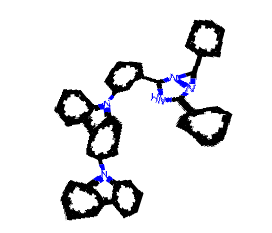 c1ccc(C2NC(c3cccc(-n4c5ccccc5c5cc(-n6c7ccccc7c7ccccc76)ccc54)c3)N3C(c4ccccc4)N23)cc1